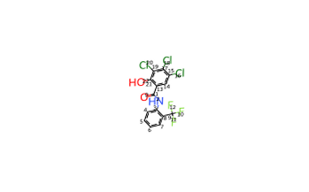 O=C(Nc1ccccc1C(F)(F)F)c1cc(Cl)c(Cl)c(Cl)c1O